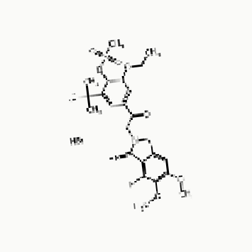 Br.CCOc1cc(C(=O)CN2Cc3cc(OC)c(OC)c(F)c3C2=N)cc(C(C)(C)C)c1OS(C)(=O)=O